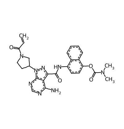 C=CC(=O)N1CCC(n2nc(C(=O)Nc3ccc(OC(=O)N(C)C)c4ccccc34)c3c(N)ncnc32)C1